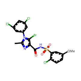 COc1ccc(Cl)c(S(=O)(=O)NC(=O)c2nc(C)n(-c3cc(Cl)cc(Cl)c3)c2Br)c1